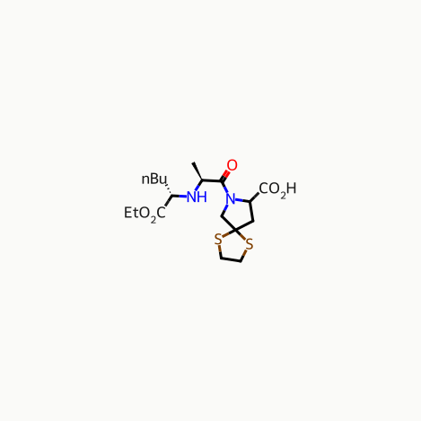 CCCC[C@H](N[C@@H](C)C(=O)N1CC2(CC1C(=O)O)SCCS2)C(=O)OCC